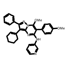 COc1ccc(-c2c(Nc3cccnc3)nc3c(C4=CCCCC4)c(-c4ccccc4)nn3c2OC)cc1